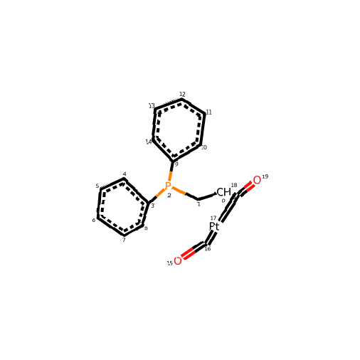 CCP(c1ccccc1)c1ccccc1.O=[C]=[Pt]=[C]=O